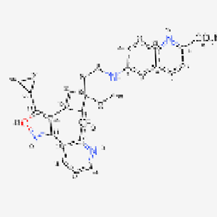 O=C(O)c1ccc2cc(N3CCC4(C=C(c5c(-c6cccnc6C(F)(F)F)noc5C5CC5)C4)CC3)ccc2n1